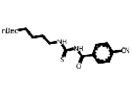 CCCCCCCCCCCCCCNC(=S)NC(=O)c1ccc(C#N)cc1